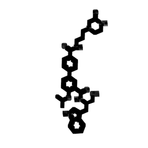 CC(C)Oc1ccc(-c2ccc(C(=O)NCCCN3CCNC(=O)C3)cc2)cc1C(=O)N[C@@H](CO)Cc1c[nH]c2ccccc12